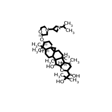 CC(C)N1CC(N2CCO[C@@H](O[C@H]3CC[C@]45CC46CC[C@]4(C)[C@@H]7C(OC([C@@H](O)C(C)(C)O)C[C@H]7C)[C@H](O)[C@@]4(C)C6CC[C@H]5C3(C)C)C2)C1